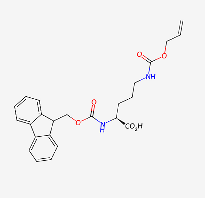 C=CCOC(=O)NCCC[C@H](NC(=O)OCC1c2ccccc2-c2ccccc21)C(=O)O